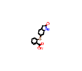 O=C1Cc2ccc(Sc3ccccc3C(=O)O)cc2N1